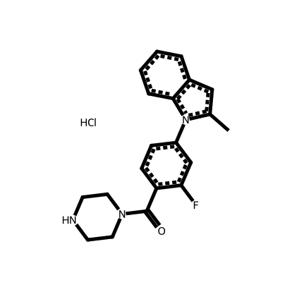 Cc1cc2ccccc2n1-c1ccc(C(=O)N2CCNCC2)c(F)c1.Cl